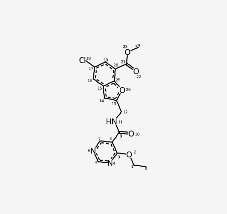 CCOc1ncncc1C(=O)NCc1cc2cc(Cl)cc(C(=O)OC)c2o1